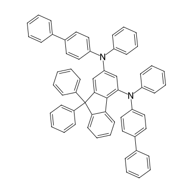 c1ccc(-c2ccc(N(c3ccccc3)c3cc(N(c4ccccc4)c4ccc(-c5ccccc5)cc4)c4c(c3)C(c3ccccc3)(c3ccccc3)c3ccccc3-4)cc2)cc1